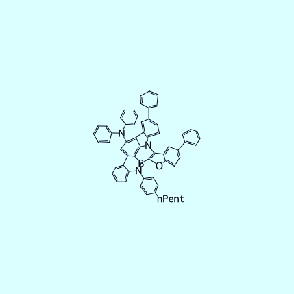 CCCCCc1ccc(N2B3c4oc5ccc(-c6ccccc6)cc5c4-n4c5ccc(-c6ccccc6)cc5c5c(N(c6ccccc6)c6ccccc6)cc(c3c54)-c3ccccc32)cc1